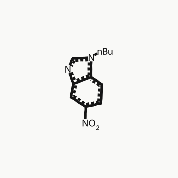 CCCCn1cnc2cc([N+](=O)[O-])ccc21